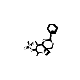 C=CC12COC(c3ccccc3)OC1C(C)C(OS(C)(=O)=O)C(C)O2